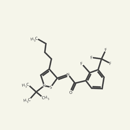 CCCCc1cn(C(C)(C)C)sc1=NC(=O)c1cccc(C(F)(F)F)c1F